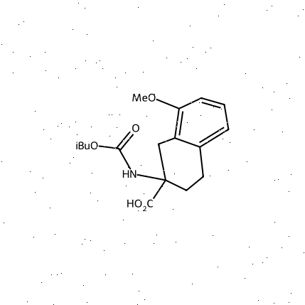 COc1cccc2c1CC(NC(=O)OCC(C)C)(C(=O)O)CC2